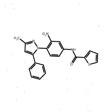 Cc1cc(-c2ccccc2)n(-c2ccc(NC(=O)c3cccs3)cc2[N+](=O)[O-])n1